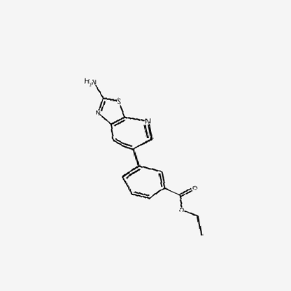 CCOC(=O)c1cccc(-c2cnc3sc(N)nc3c2)c1